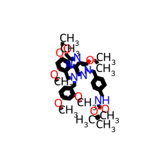 CCOCc1nc2c(N(Cc3ccc(OC)cc3OC)Cc3ccc(OC)cc3OC)nn(Cc3ccc(CNC(=O)OC(C)(C)C)cc3)c(OC(C)C)c-2n1